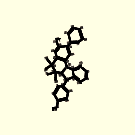 CC(C)c1ccc(N2c3nccnc3N3c4cc(-c5ccccc5)c(C(C)C)cc4C(C)(C)C(C)(C)C23)cc1